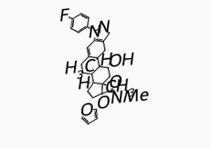 CNC(=O)[C@@]1(Oc2ccco2)CC[C@H]2C3CCC4=Cc5c(cnn5-c5ccc(F)cc5)C[C@]4(C)[C@H]3[C@@H](O)C[C@@]21C